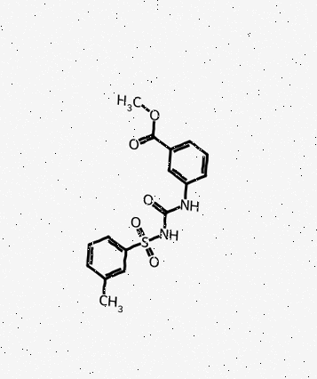 COC(=O)c1cccc(NC(=O)NS(=O)(=O)c2cccc(C)c2)c1